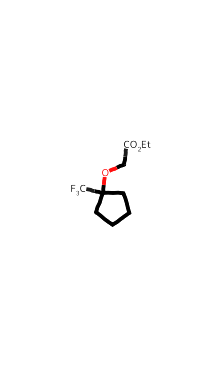 CCOC(=O)COC1(C(F)(F)F)CCCC1